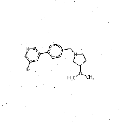 CN(C)C1CCN(Cc2ccc(-c3cncc(Br)c3)cc2)C1